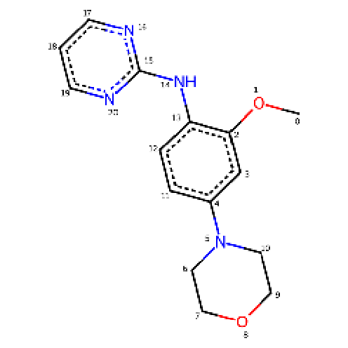 COc1cc(N2CCOCC2)ccc1Nc1ncccn1